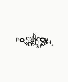 CCOc1cc(CC(=O)Nc2sc3c(c2C#N)CN(Cc2cccc(F)c2)CC3)ccc1S(N)(=O)=O